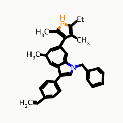 C=Cc1ccc(-c2cn(Cc3ccccc3)c3c2=CC(C)C=C(c2c(C)[pH]c(CC)c2C)C=3)cc1